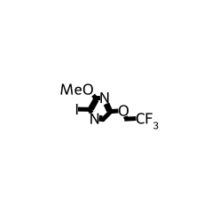 COc1nc(OCC(F)(F)F)cnc1I